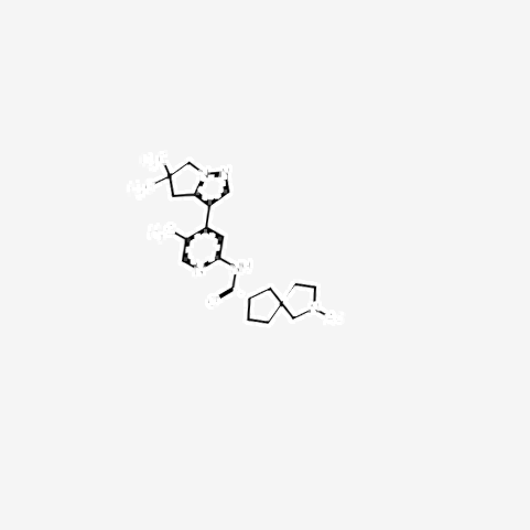 CC(=O)N1CC[C@]2(CC[C@H](C(=O)Nc3cc(-c4cnn5c4CC(C)(C)C5)c(C)cn3)C2)C1